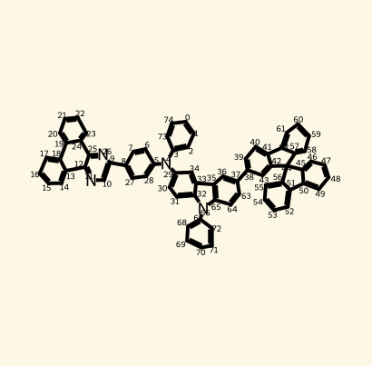 c1ccc(N(c2ccc(-c3cnc4c5ccccc5c5ccccc5c4n3)cc2)c2ccc3c(c2)c2cc(-c4ccc5c(c4)C4(c6ccccc6-c6ccccc64)c4ccccc4-5)ccc2n3-c2ccccc2)cc1